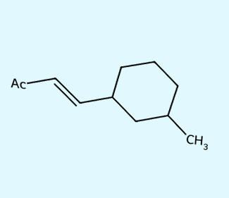 CC(=O)/C=C/C1CCCC(C)C1